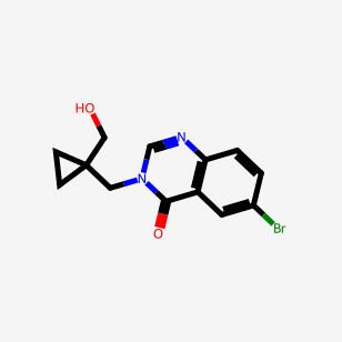 O=c1c2cc(Br)ccc2ncn1CC1(CO)CC1